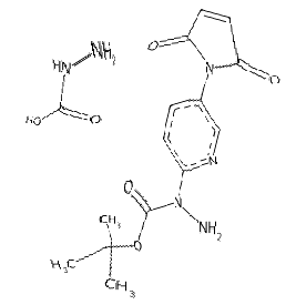 CC(C)(C)OC(=O)N(N)c1ccc(N2C(=O)C=CC2=O)cn1.NNC(=O)O